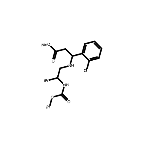 COC(=O)CC(NCC(NC(=O)OC(C)C)C(C)C)c1ccccc1Cl